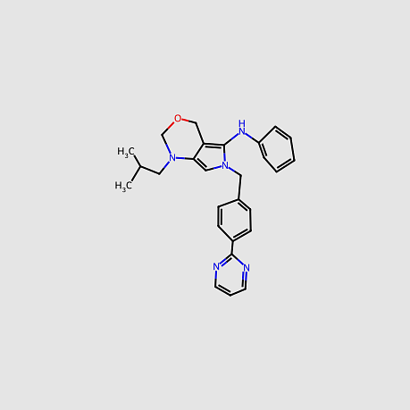 CC(C)CN1COCc2c1cn(Cc1ccc(-c3ncccn3)cc1)c2Nc1ccccc1